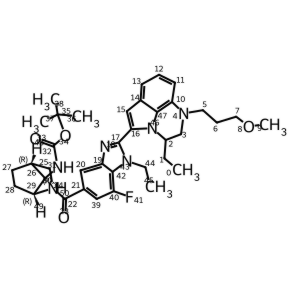 CCC1CN(CCCOC)c2cccc3cc(-c4nc5cc(C(=O)N6C[C@H]7CC[C@@H]6[C@@H]7NC(=O)OC(C)(C)C)cc(F)c5n4CC)n1c23